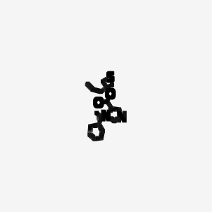 C=C=CC1(OC(=O)c2cncn2[C@H](C)c2ccccc2)CSC1